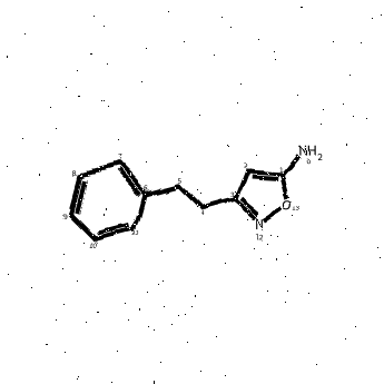 Nc1cc(CCc2ccccc2)no1